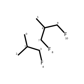 CC(C)CF.CC(CF)CF